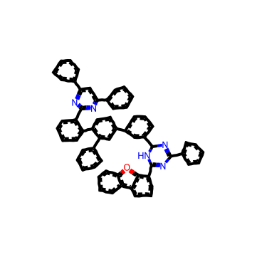 c1ccc(C2=NC(c3cccc(-c4ccc(-c5ccccc5-c5nc(-c6ccccc6)cc(-c6ccccc6)n5)c(-c5ccccc5)c4)c3)NC(c3cccc4c3oc3ccccc34)=N2)cc1